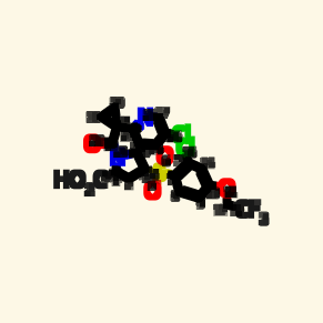 O=C(O)[C@@H]1C[C@@H](S(=O)(=O)c2ccc(OCC(F)(F)F)cc2Cl)CN1C(=O)C1(c2ccc(Cl)cn2)CC1